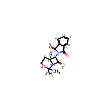 CC1(C)OCC[C@@H]2[C@@H](N3C(=O)c4ccccc4C3=O)C(=O)N21